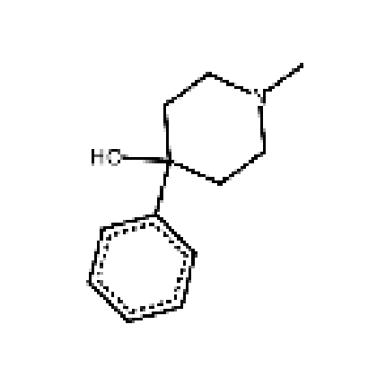 CN1CCC(O)(c2c[c]ccc2)CC1